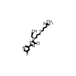 C#CCN(CCCSCCCC(C)(F)F)c1sc(-c2cncc(F)c2)nc1Cl